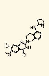 COc1cc2nc(N3CCc4c(cccc4NC4CCCN4C)C3)[nH]c(=O)c2cc1OC